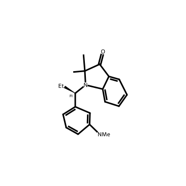 CC[C@H](c1cccc(NC)c1)N1c2ccccc2C(=O)C1(C)C